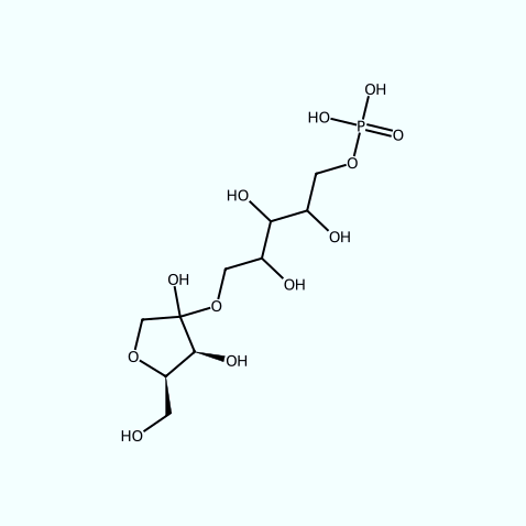 O=P(O)(O)OCC(O)C(O)C(O)COC1(O)CO[C@H](CO)[C@@H]1O